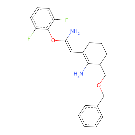 NC1=C(/C=C(\N)Oc2c(F)cccc2F)CCCC1COCc1ccccc1